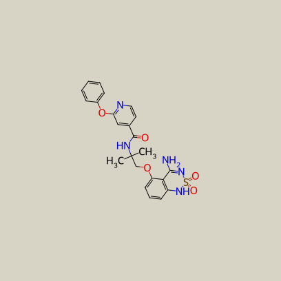 CC(C)(COc1cccc2c1C(N)=NS(=O)(=O)N2)NC(=O)c1ccnc(Oc2ccccc2)c1